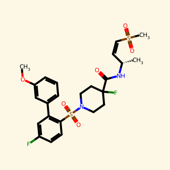 COc1cccc(-c2cc(F)ccc2S(=O)(=O)N2CCC(F)(C(=O)N[C@@H](C)/C=C\S(C)(=O)=O)CC2)c1